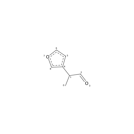 CC(C=O)c1ccoc1